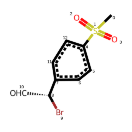 CS(=O)(=O)c1ccc([C@H](Br)C=O)cc1